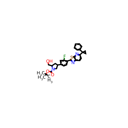 CC(C)(C)OC(=O)N1CC(c2ccc(-c3nc4ccc(C5(c6ccccc6)CC5)nc4s3)c(F)c2)CC1CO